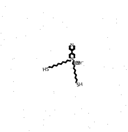 Br.SCCCCCCCCCC[N+]1(CCCCCCCCCCS)C=CC(c2ccncc2)=CC1.[Br-]